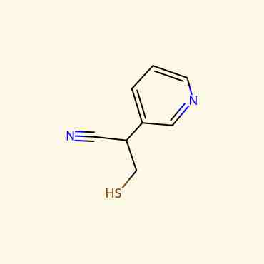 N#CC(CS)c1cccnc1